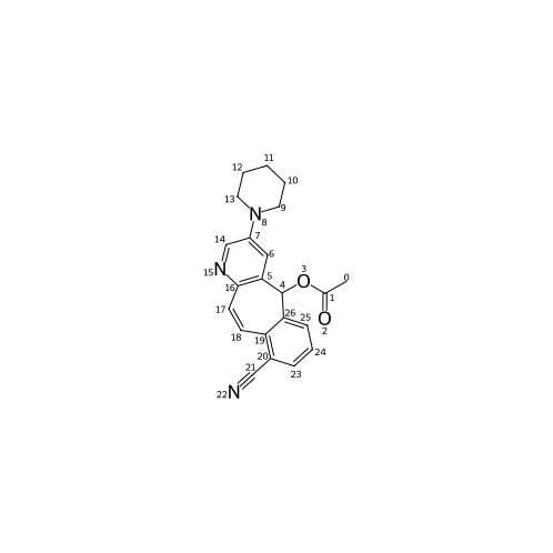 CC(=O)OC1c2cc(N3CCCCC3)cnc2C=Cc2c(C#N)cccc21